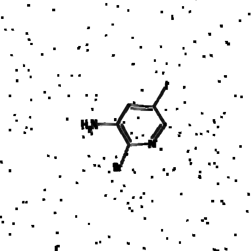 Nc1cc(I)cnc1Br